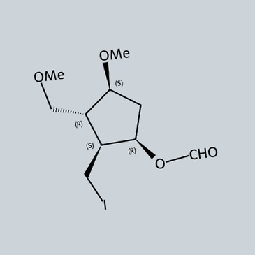 COC[C@H]1[C@H](CI)[C@H](OC=O)C[C@@H]1OC